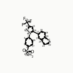 NS(=O)(=O)c1ccc(-n2nc(C(F)(F)F)cc2-c2ccc3sccc3c2)cc1